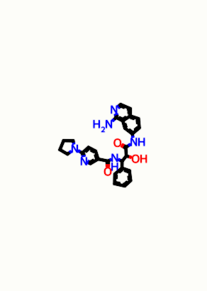 Nc1nccc2ccc(NC(=O)C(O)C(NC(=O)c3ccc(N4CCCC4)nc3)c3ccccc3)cc12